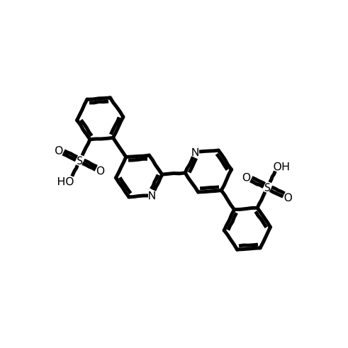 O=S(=O)(O)c1ccccc1-c1ccnc(-c2cc(-c3ccccc3S(=O)(=O)O)ccn2)c1